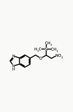 C[Si](C)(C)C(C[N+](=O)[O-])OCc1ccc2[nH]cnc2c1